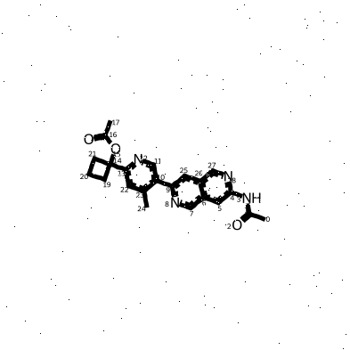 CC(=O)Nc1cc2cnc(-c3cnc(C4(OC(C)=O)CCC4)cc3C)cc2cn1